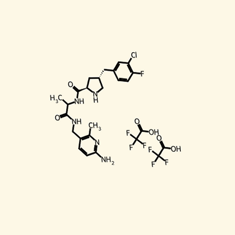 Cc1nc(N)ccc1CNC(=O)C(C)NC(=O)[C@H]1C[C@H](Cc2ccc(F)c(Cl)c2)CN1.O=C(O)C(F)(F)F.O=C(O)C(F)(F)F